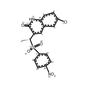 C[C@H](c1cc2cc(Cl)ccc2[nH]c1=O)S(=O)(=O)c1ccc([N+](=O)[O-])cc1